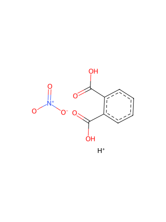 O=C(O)c1ccccc1C(=O)O.O=[N+]([O-])[O-].[H+]